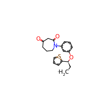 [CH2]C[C@H](Oc1cccc(N2CCCC(=O)CC2=O)c1)c1cccs1